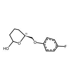 OC1CCC[C@@H](COc2ccc(F)cc2)O1